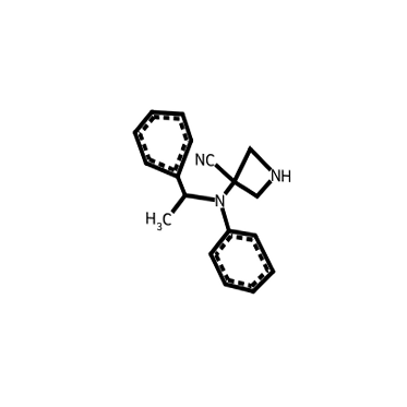 CC(c1ccccc1)N(c1ccccc1)C1(C#N)CNC1